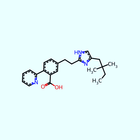 CCC(C)(C)Cc1c[nH]c(CCc2ccc(-c3ccccn3)c(C(=O)O)c2)n1